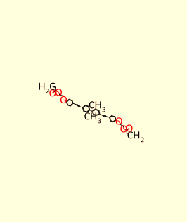 C=CC(=O)OCCOc1ccc(C#Cc2ccc(-c3c(C)cc(C#Cc4ccc(OCCOC(=O)C=C)cc4)cc3C)cc2)cc1